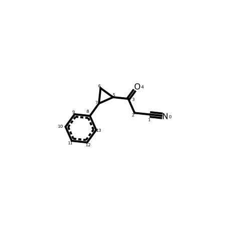 N#CCC(=O)C1CC1c1ccccc1